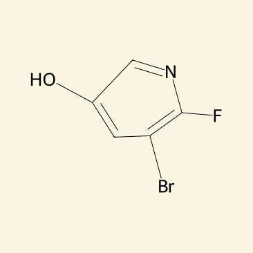 Oc1cnc(F)c(Br)c1